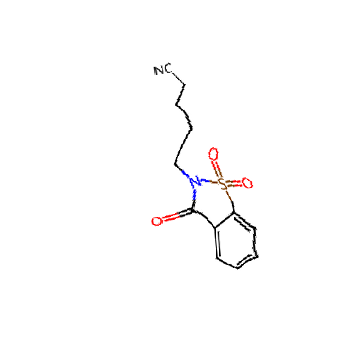 N#CCCCCN1C(=O)c2ccccc2S1(=O)=O